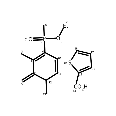 C=C1C(C)=C(P(C)(=O)OCC)C=CC1C.O=C(O)c1cccs1